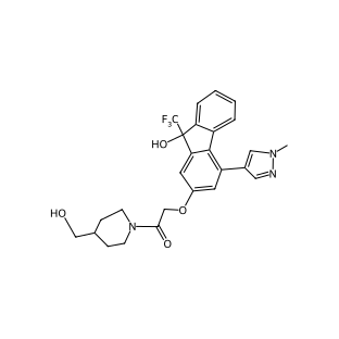 Cn1cc(-c2cc(OCC(=O)N3CCC(CO)CC3)cc3c2-c2ccccc2C3(O)C(F)(F)F)cn1